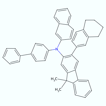 CC1(C)c2ccccc2-c2cc(-c3ccc4c(c3)CCCC4)c(N(c3ccc(-c4ccccc4)cc3)c3ccc4ccccc4c3)cc21